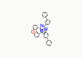 c1ccc(-c2ccc(-c3nc(-c4cccc(-c5ccccc5)c4)nc(-c4cccc5oc6cccc(-c7ccccc7)c6c45)n3)cc2)cc1